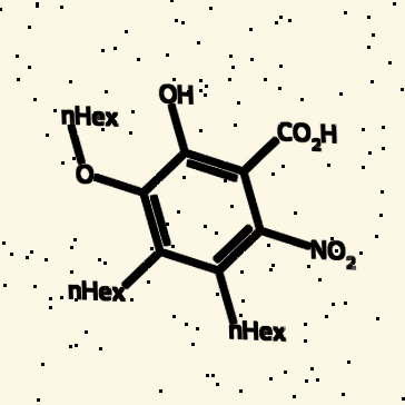 CCCCCCOc1c(O)c(C(=O)O)c([N+](=O)[O-])c(CCCCCC)c1CCCCCC